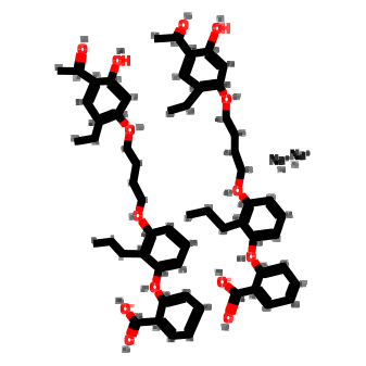 CCCc1c(OCCCCOc2cc(O)c(C(C)=O)cc2CC)cccc1Oc1ccccc1C(=O)[O-].CCCc1c(OCCCCOc2cc(O)c(C(C)=O)cc2CC)cccc1Oc1ccccc1C(=O)[O-].[Na+].[Na+]